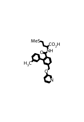 CSCCC(NC(=O)c1ccc(COc2cccnc2)cc1-c1cccc(C)c1)C(=O)O